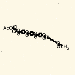 C=CC(=O)OCCCCCCCOC(=O)Oc1ccc(C(=O)Oc2ccc(C(=O)Oc3ccc(C(=O)O[C@H]4COC5C4OC[C@@H]5OC(C)=O)cc3)cc2)cc1